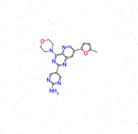 Cc1ccc(-c2cnc3c(N4CCOCC4)nc(-c4cnc(N)nc4)nc3c2)o1